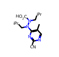 Cc1cnc(C#N)nc1N(CC(C)C)N(CC(C)C)C(=O)O